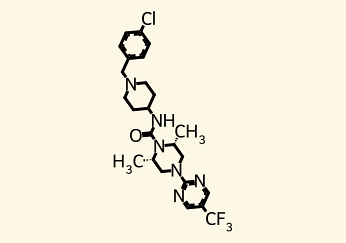 C[C@@H]1CN(c2ncc(C(F)(F)F)cn2)C[C@H](C)N1C(=O)NC1CCN(Cc2ccc(Cl)cc2)CC1